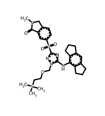 CN1Cc2ccc(S(=O)(=O)c3nc(Nc4c5c(cc6c4CCC6)CCC5)n(COCC[Si](C)(C)C)n3)cc2C1=O